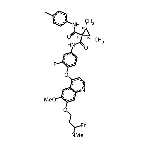 CCC(CCOc1cc2nccc(Oc3ccc(NC(=O)[C@@]4(C(=O)Nc5ccc(F)cc5)[C@H](C)[C@@H]4C)cc3F)c2cc1OC)NC